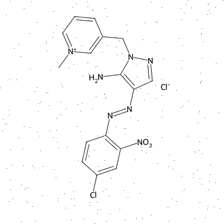 C[n+]1cccc(Cn2ncc(N=Nc3ccc(Cl)cc3[N+](=O)[O-])c2N)c1.[Cl-]